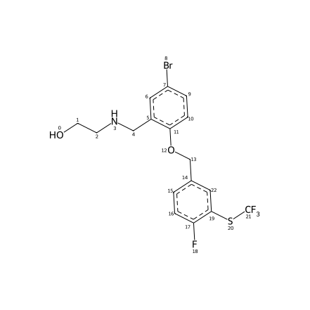 OCCNCc1cc(Br)ccc1OCc1ccc(F)c(SC(F)(F)F)c1